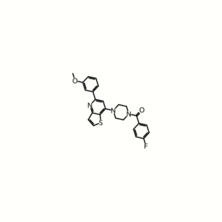 COc1cccc(-c2cc(N3CCN(C(=O)c4ccc(F)cc4)CC3)c3sccc3n2)c1